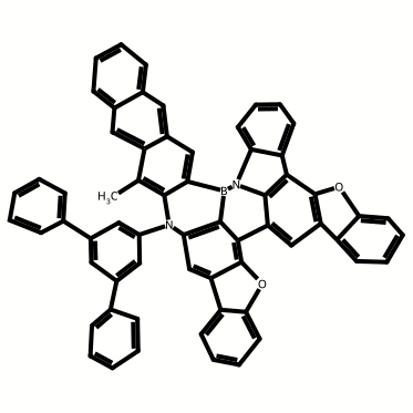 Cc1c2c(cc3cc4ccccc4cc13)B1c3c(cc4c(oc5ccccc54)c3-c3cc4c5ccccc5oc4c4c5ccccc5n1c34)N2c1cc(-c2ccccc2)cc(-c2ccccc2)c1